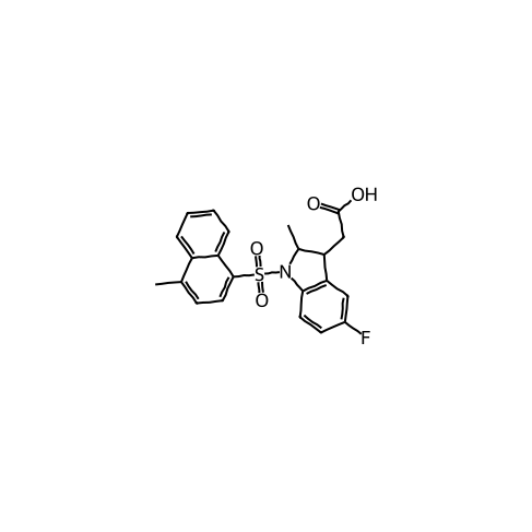 Cc1ccc(S(=O)(=O)N2c3ccc(F)cc3C(CC(=O)O)C2C)c2ccccc12